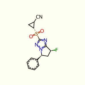 N#CC1C[C@H]1S(=O)(=O)c1nc2n(n1)[C@H](c1ccccc1)C[C@@H]2F